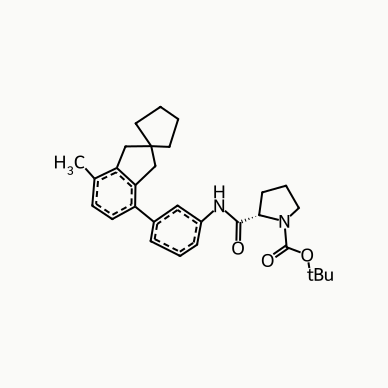 Cc1ccc(-c2cccc(NC(=O)[C@@H]3CCCN3C(=O)OC(C)(C)C)c2)c2c1CC1(CCCC1)C2